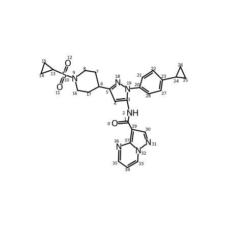 O=C(Nc1cc(C2CCN(S(=O)(=O)C3CC3)CC2)nn1-c1ccc(C2CC2)cc1)c1cnn2cccnc12